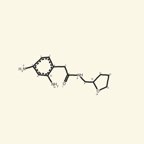 Nc1ccc(CC(=O)NCC2CCCO2)c(N)c1